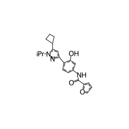 CC(C)n1nc(-c2ccc(NC(=O)c3ccco3)cc2O)cc1C1CCC1